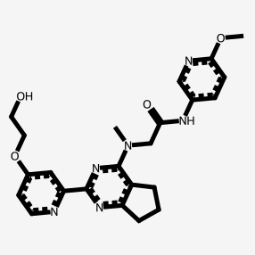 COc1ccc(NC(=O)CN(C)c2nc(-c3cc(OCCO)ccn3)nc3c2CCC3)cn1